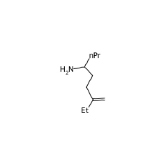 C=C(CC)CCC(N)CCC